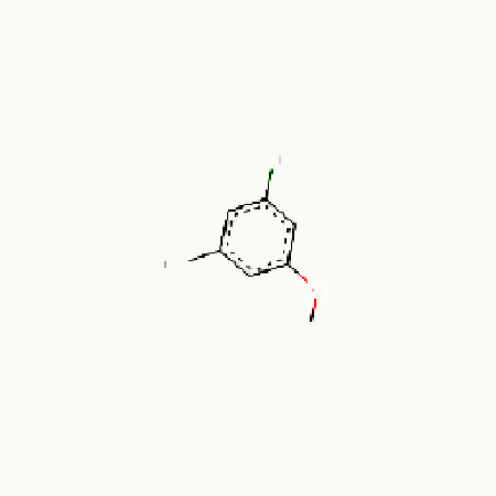 CCC(C)c1cc(Cl)cc(OC(F)(F)F)c1